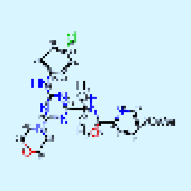 COc1ccc(C(=O)NC(C)(C)c2nc(Nc3ccc(Cl)cc3)nc(N3CCOCC3)n2)nc1